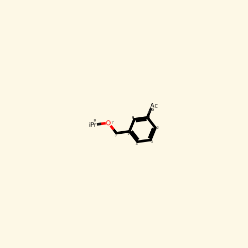 CC(=O)c1cccc(COC(C)C)c1